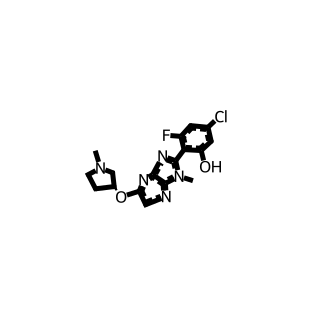 CN1CC[C@@H](Oc2cnc3c(n2)nc(-c2c(O)cc(Cl)cc2F)n3C)C1